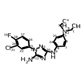 CCN(CC)c1ccc(Nc2nc(N)n(-c3ccc(F)c(Cl)c3)n2)cc1